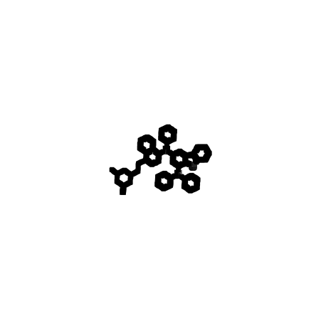 C=C1CC(C)CC(CCc2ccc(N(c3ccccc3)c3cc(N(c4ccccc4)c4ccccc4)c4oc5ccccc5c4c3)c3ccccc23)C1